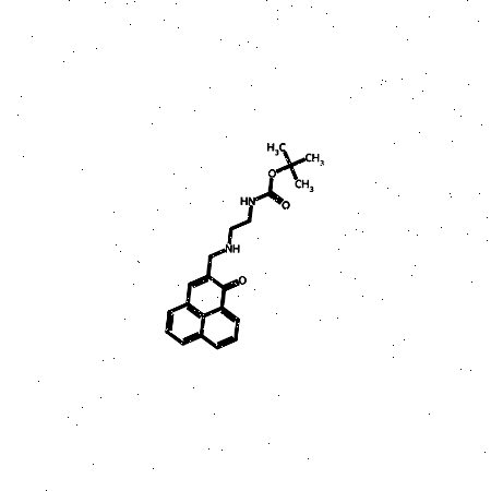 CC(C)(C)OC(=O)NCCNCC1=Cc2cccc3cccc(c23)C1=O